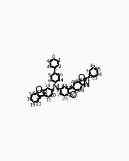 c1ccc(-c2ccc(N(c3ccc4c(c3)oc3ccccc34)c3ccc4oc5cc6nc(-c7ccccc7)oc6cc5c4c3)cc2)cc1